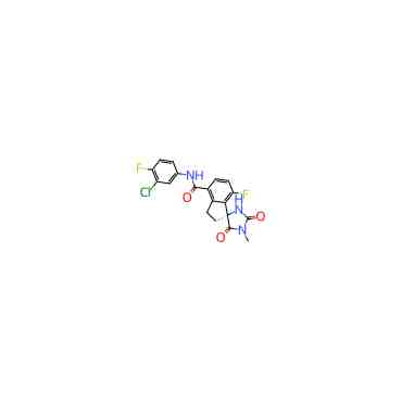 CN1C(=O)N[C@@]2(CCc3c(C(=O)Nc4ccc(F)c(Cl)c4)ccc(F)c32)C1=O